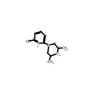 CC1CN(c2cc[c]c(Cl)n2)CC(C)O1